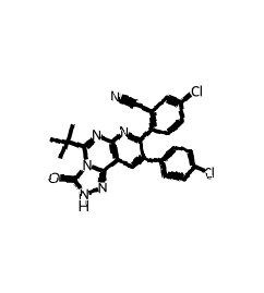 CC(C)(C)c1nc2nc(-c3ccc(Cl)cc3C#N)c(-c3ccc(Cl)cc3)cc2c2n[nH]c(=O)n12